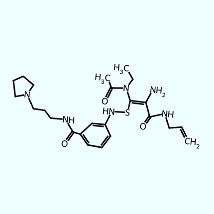 C=CCNC(=O)/C(N)=C(\SNc1cccc(C(=O)NCCCN2CCCC2)c1)N(CC)C(C)=O